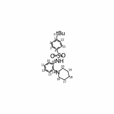 CC(C)(C)c1ccc(S(=O)(=O)Nc2ccccc2N2CCCCC2)cc1